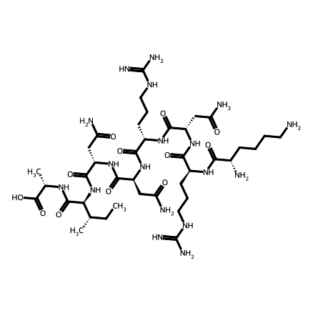 CC[C@H](C)[C@H](NC(=O)[C@H](CC(N)=O)NC(=O)[C@H](CC(N)=O)NC(=O)[C@H](CCCNC(=N)N)NC(=O)[C@H](CC(N)=O)NC(=O)[C@H](CCCNC(=N)N)NC(=O)[C@@H](N)CCCCN)C(=O)N[C@@H](C)C(=O)O